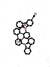 N#Cc1ccc2c(c1)c1ccccc1n2-c1cccc(C#N)c1-c1c(C#N)cccc1-c1cccc(-n2c3ccccc3c3ccccc32)c1